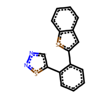 [c]1nnsc1-c1ccccc1-c1cc2ccccc2s1